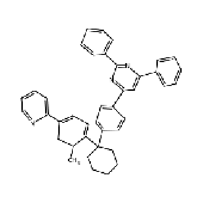 CC1CC(c2ccccn2)=CC=C1C1(c2ccc(-c3cc(-c4ccccc4)nc(-c4ccccc4)n3)cc2)CCCCC1